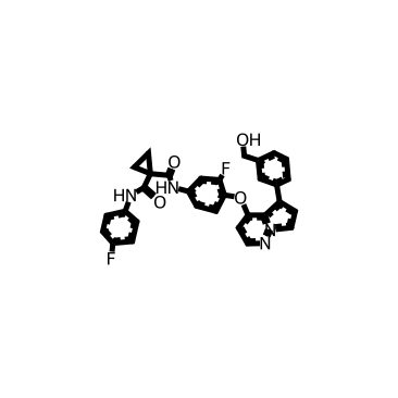 O=C(Nc1ccc(F)cc1)C1(C(=O)Nc2ccc(Oc3ccnn4ccc(-c5cccc(CO)c5)c34)c(F)c2)CC1